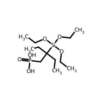 CCO[Si](OCC)(OCC)C(CC)(CC)CP(=O)(O)O